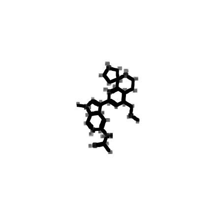 COCc1cc(-c2cn(C)c3cnc(NC(C)=O)cc23)nc2c1CCOC21CCOC1